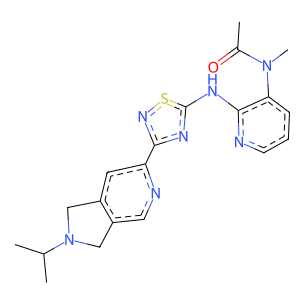 CC(=O)N(C)c1cccnc1Nc1nc(-c2cc3c(cn2)CN(C(C)C)C3)ns1